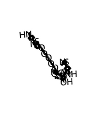 CNc1ccc(-c2nc3ccc(OCCOCCOCCOCCOc4cc([C@H](C(=O)N5C[C@H](O)C[C@H]5C(=O)N[C@@H](C)c5ccc(-c6scnc6C)cc5)C(C)C)on4)cc3s2)cc1